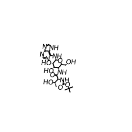 C[C@@H](O)[C@H](NC(=O)OC(C)(C)C)C(=O)N[C@@H]1[C@@H](O)[C@H](O)[C@@H](Nc2ncnc3nc[nH]c23)O[C@H]1CO